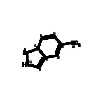 O=[N+]([O-])C1=CC2=CN[Se]N2C=C1